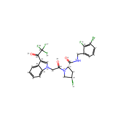 O=C(NCc1cccc(Br)c1F)[C@@H]1C[C@@H](F)CN1C(=O)Cn1cc(C(=O)C(F)(F)F)c2ccccc21